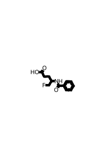 O=C(O)CCC(CF)NC(=O)c1ccccc1